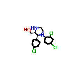 OC[C@H]1NCCN(c2ccc(Cl)cc2Cl)[C@H]1c1ccc(Cl)cc1